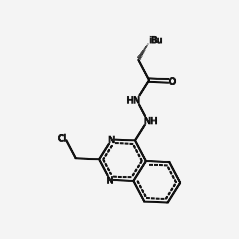 CC[C@@H](C)CC(=O)NNc1nc(CCl)nc2ccccc12